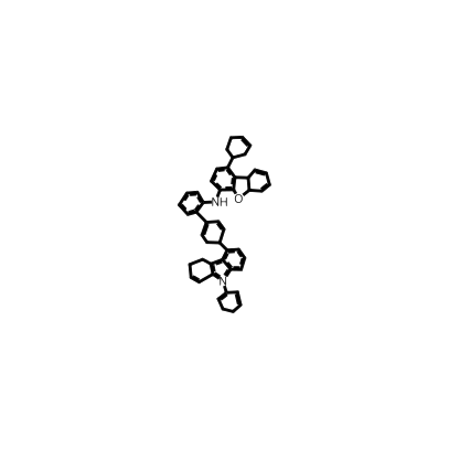 C1=CC2Oc3c(Nc4ccccc4C4=CCC(c5cccc6c5c5c(n6C6=CCCC=C6)C=CCC5)C=C4)ccc(C4CC=CCC4)c3C2C=C1